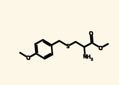 COC(=O)C(N)CSCc1ccc(OC)cc1